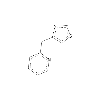 [c]1nc(Cc2ccccn2)cs1